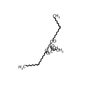 CCCCCCCC/C=C\CCCCCCCC(=O)OCCN(CCOC(=O)CCCCCCC/C=C\CCCCCCCC)C(=O)C[N+](C)(C)CCC